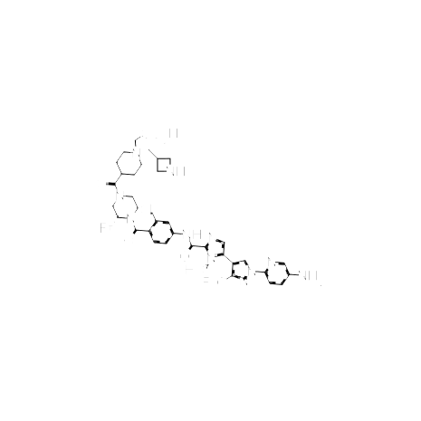 CC[C@@H]1CN(C(=O)C2CC[N+](CC(=O)O)(CC3CNC3)CC2)CCN1C(=O)c1ccc(NC(=O)c2ncc(-c3cn(-c4ccc(N)cn4)nc3C(F)(F)F)n2C)cc1Cl